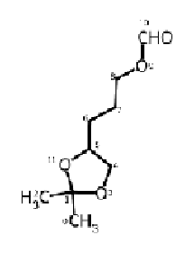 CC1(C)OCC(CCCOC=O)O1